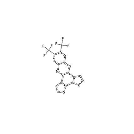 FC(F)(F)c1cc2nc3c4ccsc4c4sccc4c3nc2cc1C(F)(F)F